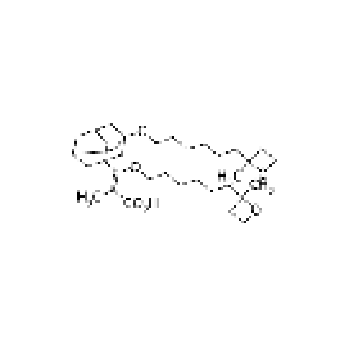 CC(C(=O)O)=C(OCCCCCCC1(C)CCO1)C12CC3CC(CC(OCCCCCCC4(C)CCO4)(C3)C1)C2